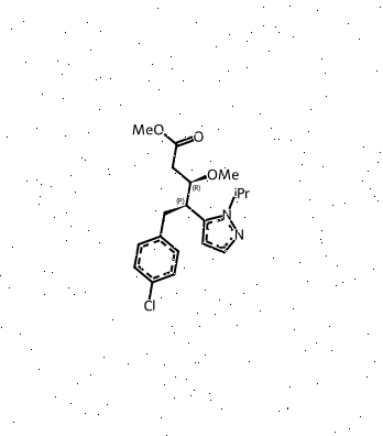 COC(=O)C[C@@H](OC)[C@H](Cc1ccc(Cl)cc1)c1ccnn1C(C)C